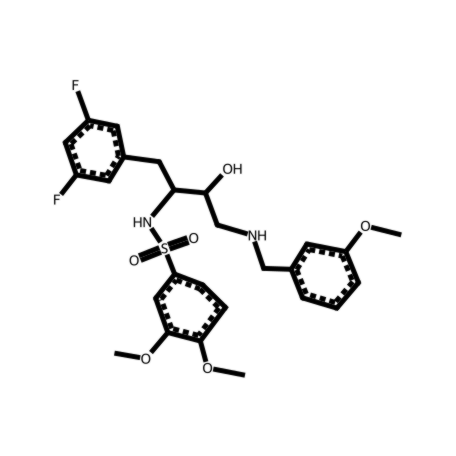 COc1cccc(CNCC(O)C(Cc2cc(F)cc(F)c2)NS(=O)(=O)c2ccc(OC)c(OC)c2)c1